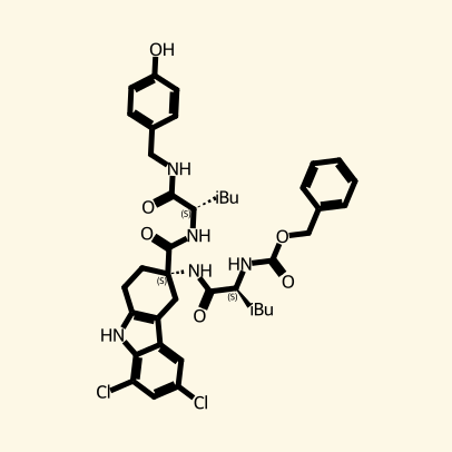 CCC(C)[C@H](NC(=O)OCc1ccccc1)C(=O)N[C@@]1(C(=O)N[C@H](C(=O)NCc2ccc(O)cc2)C(C)CC)CCc2[nH]c3c(Cl)cc(Cl)cc3c2C1